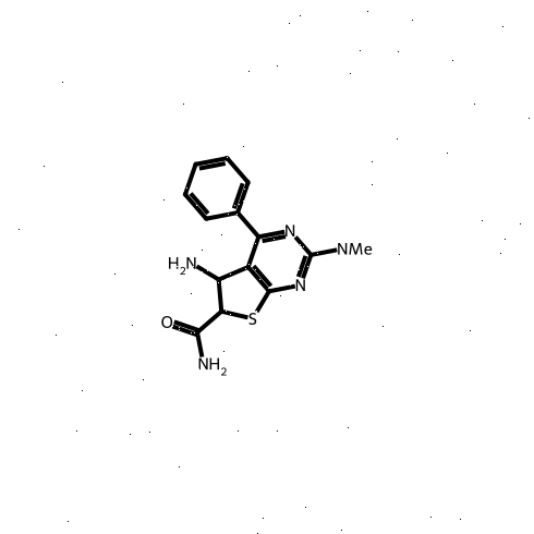 CNc1nc2c(c(-c3ccccc3)n1)C(N)C(C(N)=O)S2